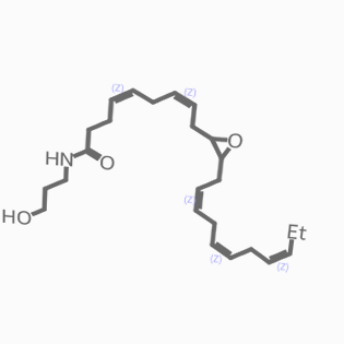 CC/C=C\C/C=C\C/C=C\CC1OC1C/C=C\C/C=C\CCC(=O)NCCCO